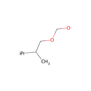 CC(C)C(C)COC[O]